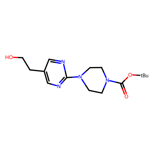 CC(C)(C)OC(=O)N1CCN(c2ncc(CCO)cn2)CC1